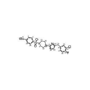 CC(C)(C)c1ccc(S(=O)(=O)C2CCN(c3nc(Cc4ccc(F)c(Cl)c4)cs3)CC2)cc1